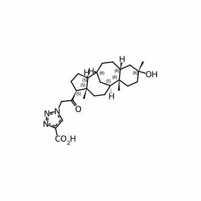 C[C@@]1(O)CC[C@@]2(C)[C@H](CC[C@@H]3C[C@@H]2CC[C@]2(C)[C@@H](C(=O)Cn4cc(C(=O)O)nn4)CC[C@@H]32)C1